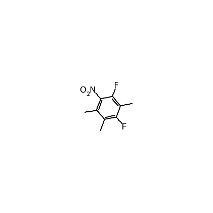 Cc1c(C)c([N+](=O)[O-])c(F)c(C)c1F